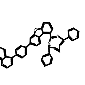 C1=C/C(c2ccccc2)=N\C(c2cccc3oc4cc(-c5ccc(-c6cccc7ccccc67)cc5)ccc4c23)=N/C(c2ccccc2)=C/1